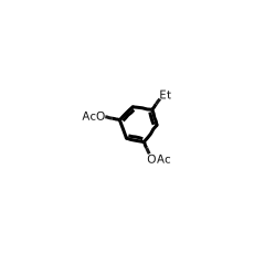 CCc1cc(OC(C)=O)cc(OC(C)=O)c1